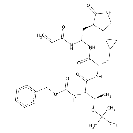 C=CC(=O)N[C@H](C[C@@H]1CCNC1=O)NC(=O)[C@H](CC1CC1)NC(=O)[C@@H](NC(=O)OCc1ccccc1)[C@@H](C)OC(C)(C)C